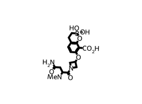 CNC(CC(N)=O)C(=O)N1CC(Oc2ccc3c(c2C(=O)O)O[B-](O)(O)CC3)C1